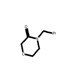 CC(C)CN1CCOCC1=O